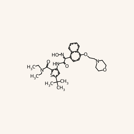 CCN(CC)C(=O)c1sc(C(C)(C)C)cc1NC(=O)C(=NO)c1ccc(OCCN2CCOCC2)c2ccccc12